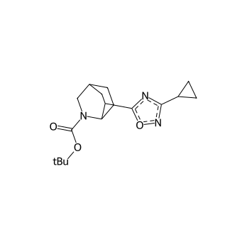 CC(C)(C)OC(=O)N1CC2CCC1C(c1nc(C3CC3)no1)C2